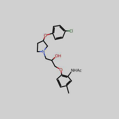 CC(=O)Nc1cc(C)ccc1OCC(O)CN1CCC(Oc2ccc(Cl)cc2)C1